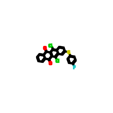 O=C1c2ccccc2C(=O)c2c1c(Cl)c1ccc(Sc3ccc(F)cc3)cc1c2Cl